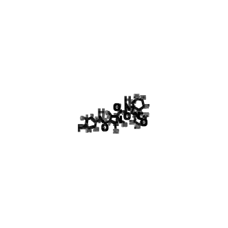 Cc1cc(NC(=O)c2c(C)c(C(=O)C(=O)NC3(CN4CCOCC4)CCCCC3)n(C)c2C)ccc1F